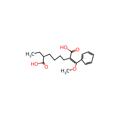 CCC(CCCCC(C(=O)O)=C(OC)c1ccccc1)C(=O)O